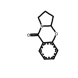 O=C1c2ccccc2OC2CCCN12